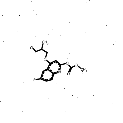 COC(=O)Oc1cc(OCC(C)CCl)c2cc(F)ccc2n1